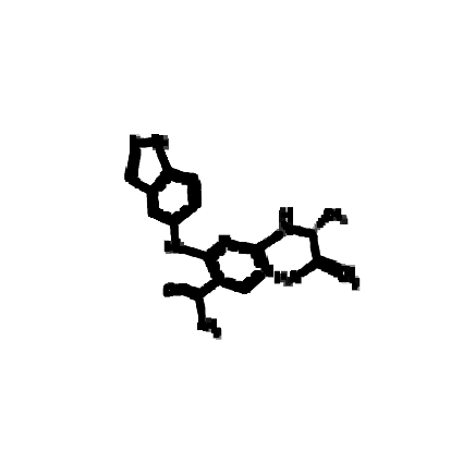 C=C(N)[C@@H](C)Nc1ncc(C(N)=O)c(Nc2ccc3c(c2)C=NB3)n1